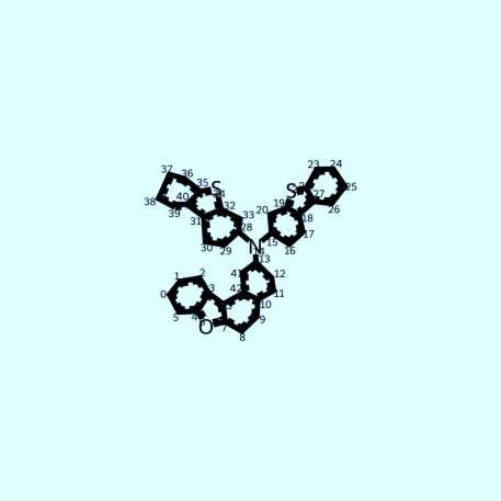 c1ccc2c(c1)oc1ccc3ccc(N(c4ccc5c(c4)sc4ccccc45)c4ccc5c(c4)sc4ccccc45)cc3c12